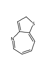 C1=CC=C2SCC=C2N=C1